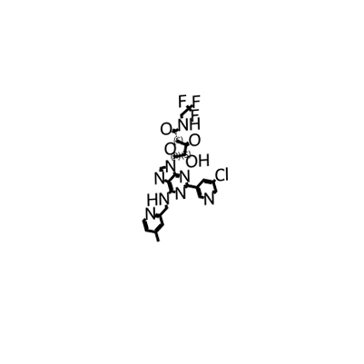 Cc1ccnc(CNc2nc(-c3cncc(Cl)c3)nc3c2ncn3[C@@H]2O[C@H](C(=O)NCC(F)(F)F)C(=O)[C@H]2O)c1